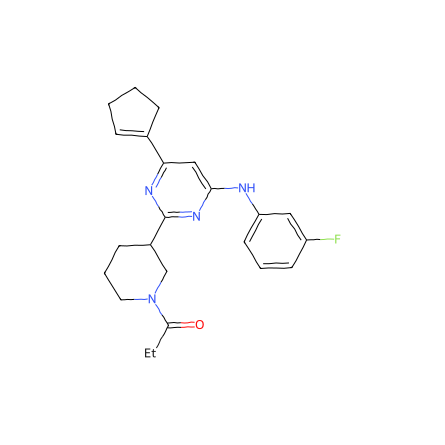 CCC(=O)N1CCCC(c2nc(Nc3cccc(F)c3)cc(C3=CCCC3)n2)C1